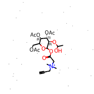 C#CC[N+](C)(C)CC(=O)OC1OC(COC(C)=O)[C@@H](OC(C)=O)[C@H](OC(C)=O)[C@H]1OC(C)O